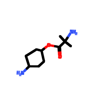 CC(C)(N)C(=O)OC1CCC(N)CC1